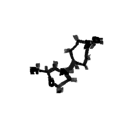 CC(C)C1CN(C2CC[S+]([O-])CC2)CCO1